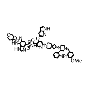 COc1ccc(CN2CCN(C3CC4(CCN(c5cc(Oc6cnc7[nH]ccc7c6)c(C(=O)NS(=O)(=O)c6cc([N+](=O)[O-])c(NCC7(F)CCOCC7)c7[nH]cnc67)cn5)CC4)C3)[C@H](c3ccccc3C(C)C)C2)cc1